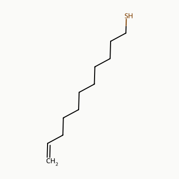 C=CCCCCCCCCCS